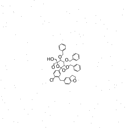 CO[C@@]1(c2ccc(Cl)c(Cc3ccc4c(c3)CCO4)c2)O[C@@](C=O)(CO)[C@@H](OCc2ccccc2)[C@H](OCc2ccccc2)C1OCc1ccccc1